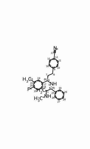 C=C(NC)[C@H](N[C@H](CCc1ccc(C#N)cc1)c1ccc(F)c(C)c1)c1ccccc1